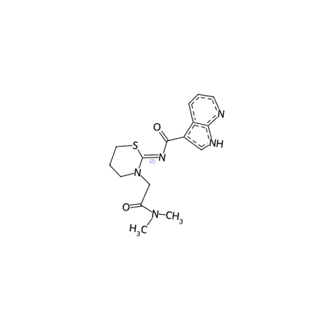 CN(C)C(=O)CN1CCCS/C1=N\C(=O)c1c[nH]c2ncccc12